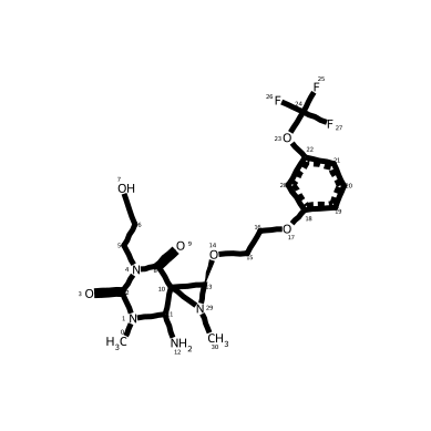 CN1C(=O)N(CCO)C(=O)C2(C1N)[C@@H](OCCOc1cccc(OC(F)(F)F)c1)N2C